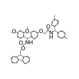 COc1ccc(C(NC(=O)OCC2c3ccccc3-c3ccccc32)c2ccc(OCC(=O)NC(c3ccc(C)cc3)c3ccc(C)cc3)cc2)c(OC)c1